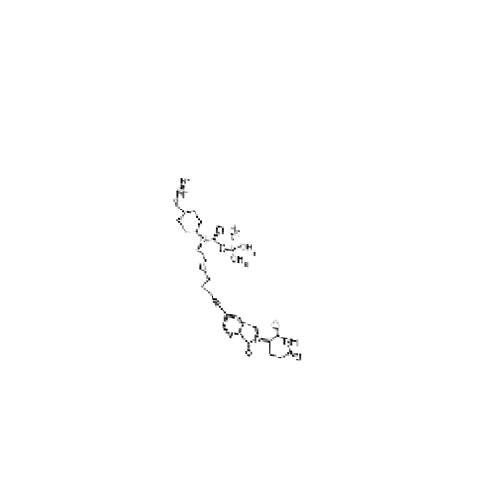 CC(C)(C)OC(=O)N(CCOCCC#Cc1ccc2c(c1)CN(C1CCC(=O)NC1=O)C2=O)C1CCC(N=[N+]=[N-])CC1